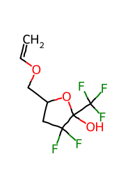 C=COCC1CC(F)(F)C(O)(C(F)(F)F)O1